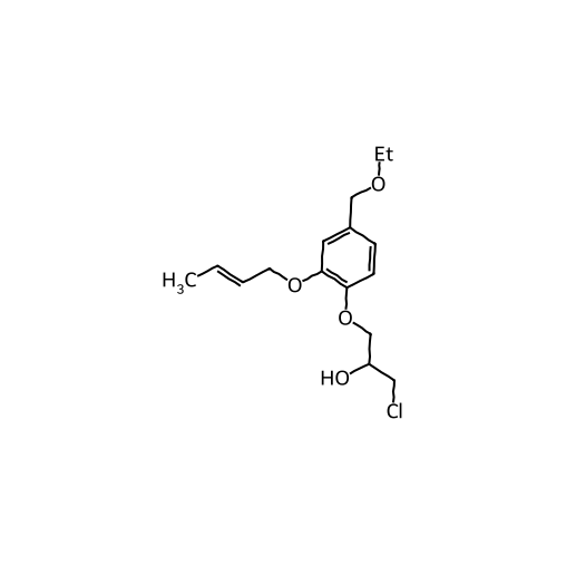 CC=CCOc1cc(COCC)ccc1OCC(O)CCl